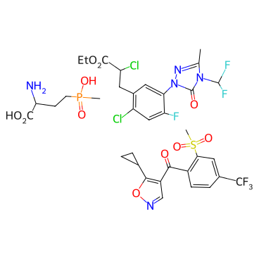 CCOC(=O)C(Cl)Cc1cc(-n2nc(C)n(C(F)F)c2=O)c(F)cc1Cl.CP(=O)(O)CCC(N)C(=O)O.CS(=O)(=O)c1cc(C(F)(F)F)ccc1C(=O)c1cnoc1C1CC1